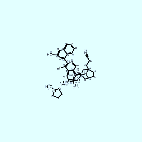 CN1CCC[C@H]1COc1nc(N2CC3CCC(CCC#N)(C2)N3C(=O)OC(C)(C)C)c2cnc(-c3cc(O)cc4ccccc34)c(F)c2n1